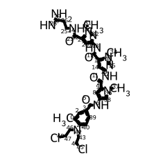 Cc1cc(C(=O)Nc2cc(C(=O)Nc3cc(C(=O)Nc4cc(C(=O)NCCC(=N)N)n(C)n4)n(C)n3)n(C)c2)ccc1N(CCCl)CCCl